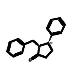 O=C1CC[C@@H](c2ccccc2)N1Cc1ccccc1